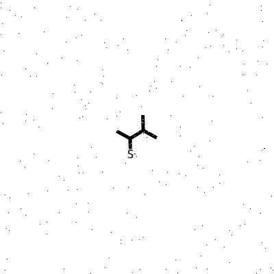 C[C](C)C(C)[S]